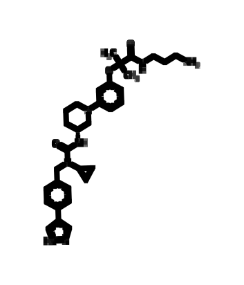 CC(C)(Oc1cccc(N2CCC[C@@H](NC(=O)N(Cc3ccc(-c4cn[nH]c4)cc3)C3CC3)C2)c1)C(=O)NCCCN